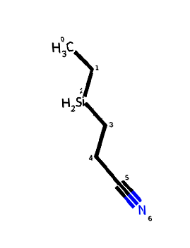 CC[SiH2]CCC#N